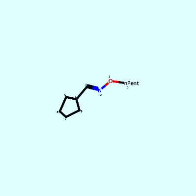 CCCCCO/N=[C]/C1CCCC1